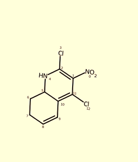 O=[N+]([O-])C1=C(Cl)NC2CCC=CC2=C1Cl